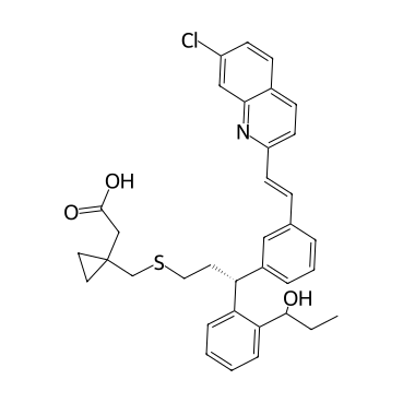 CCC(O)c1ccccc1[C@H](CCSCC1(CC(=O)O)CC1)c1cccc(/C=C/c2ccc3ccc(Cl)cc3n2)c1